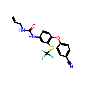 C=CCNC(=O)Nc1ccc(Oc2ccc(C#N)cc2)c(SC(F)(F)F)c1